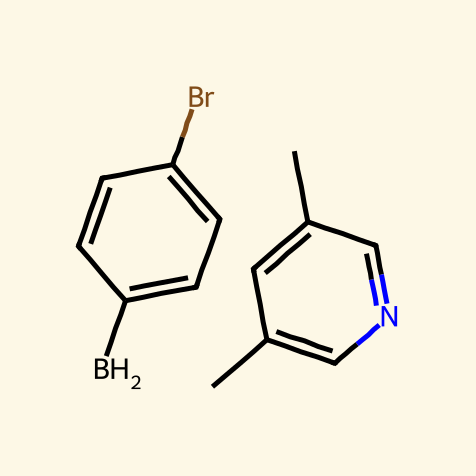 Bc1ccc(Br)cc1.Cc1cncc(C)c1